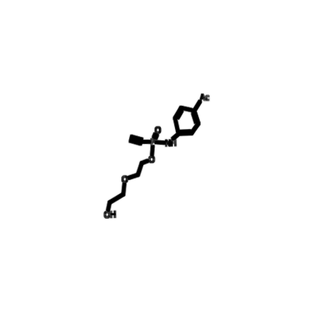 C#CP(=O)(Nc1ccc(C(C)=O)cc1)OCCOCCO